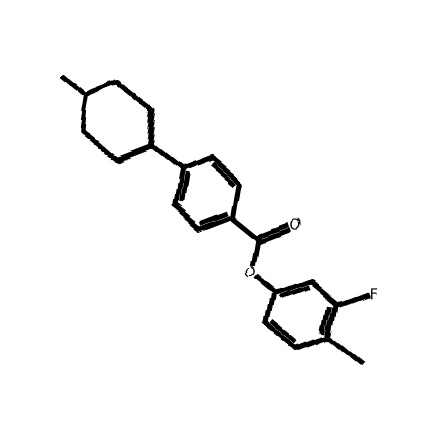 Cc1ccc(OC(=O)c2ccc(C3CCC(C)CC3)cc2)cc1F